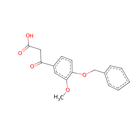 COc1cc(C(=O)CC(=O)O)ccc1OCc1ccccc1